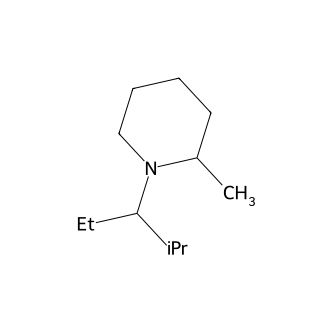 CCC(C(C)C)N1CCCCC1C